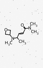 CC(C=CC(=O)N(C)C)N(C)C1COC1